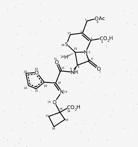 CC(=O)OCC1=C(C(=O)O)N2C(=O)[C@@H](NC(=O)C(=NOC3(C(=O)O)CCC3)c3ccco3)[C@H]2SC1